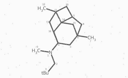 CN(CC(C)(C)C)C12CC3(C)CC4CC(C)(C1)C4(C3)C2